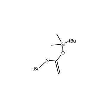 C=C(O[Si](C)(C)C(C)(C)C)SC(C)(C)C